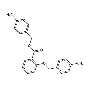 Cc1ccc(COC(=O)c2ccccc2OCc2ccc(C)cc2)cc1